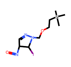 C[Si](C)(C)CCOCN1N=CC(N=O)C1I